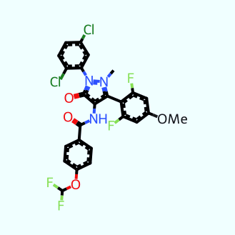 COc1cc(F)c(-c2c(NC(=O)c3ccc(OC(F)F)cc3)c(=O)n(-c3cc(Cl)ccc3Cl)n2C)c(F)c1